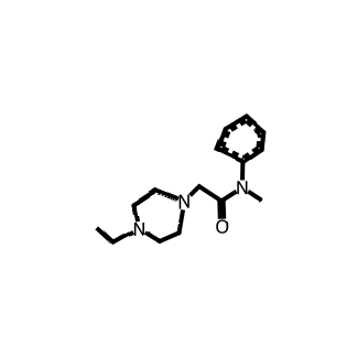 CCN1CCN(CC(=O)N(C)c2ccccc2)CC1